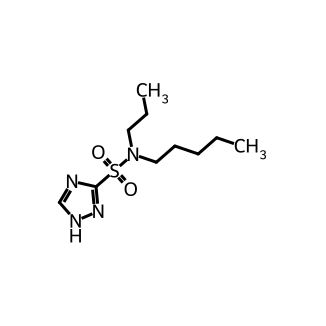 CCCCCN(CCC)S(=O)(=O)c1nc[nH]n1